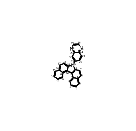 c1ccc2c(c1)ccc1c2c2c3ccccc3ccc2n1-c1ccc2nccnc2c1